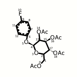 CC(=O)OCC1O[C@@H](Oc2ccc(F)cc2)C(OC(C)=O)[C@@H](OC(C)=O)[C@@H]1OC(C)=O